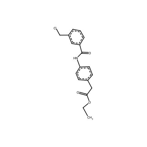 CCOC(=O)Cc1ccc(NC(=O)c2cccc(CCl)c2)cc1